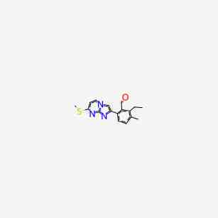 CCc1c(C)ccc(-c2cn3ccc(SC)nc3n2)c1C=O